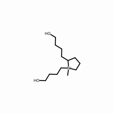 C[N+]1(CCCCO)CCCC1CCCCO